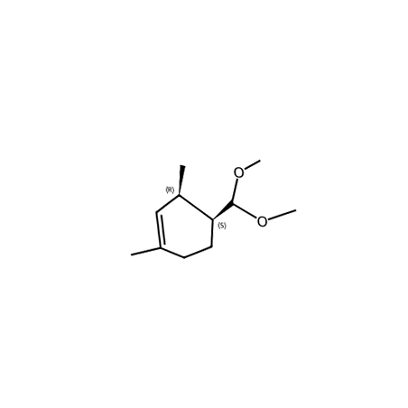 COC(OC)[C@H]1CCC(C)=C[C@H]1C